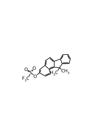 CC1(C)c2ccccc2-c2ccc3cc(OS(=O)(=O)C(F)(F)F)ccc3c21